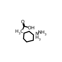 C1CCCCC1.CC(=O)O.N.N